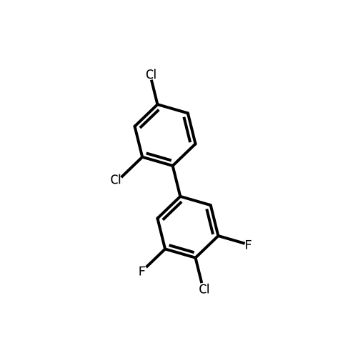 Fc1cc(-c2ccc(Cl)cc2Cl)cc(F)c1Cl